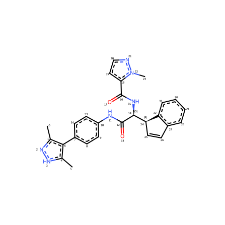 Cc1n[nH]c(C)c1-c1ccc(NC(=O)[C@@H](NC(=O)c2ccnn2C)[C@@H]2C=Cc3ccccc32)cc1